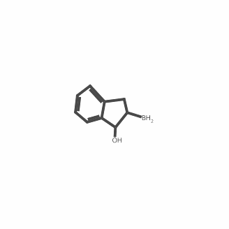 BC1Cc2ccccc2C1O